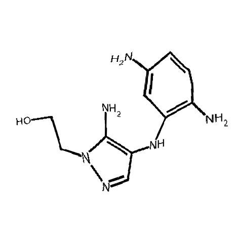 Nc1ccc(N)c(Nc2cnn(CCO)c2N)c1